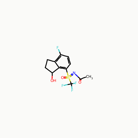 CC(=O)N=S(=O)(c1ccc(F)c2c1C(O)CC2)C(F)(F)F